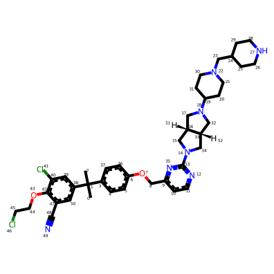 CC(C)(c1ccc(OCc2ccnc(N3C[C@@H]4CN(C5CCN(CC6CCNCC6)CC5)C[C@@H]4C3)n2)cc1)c1cc(Cl)c(OCCCl)c(C#N)c1